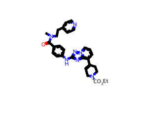 CCOC(=O)N1CC=C(c2cccn3nc(Nc4ccc(C(=O)N(C)CCc5ccncc5)cc4)nc23)CC1